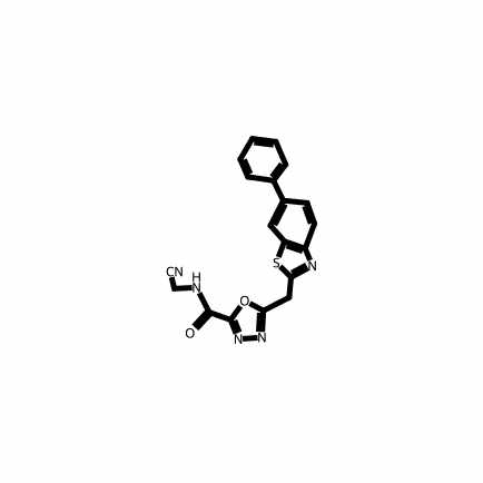 N#CCNC(=O)c1nnc(Cc2nc3ccc(-c4ccccc4)cc3s2)o1